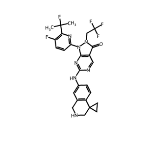 CC(C)(F)c1nc(-n2c3nc(Nc4ccc5c(c4)CNCC54CC4)ncc3c(=O)n2CC(F)(F)F)ccc1F